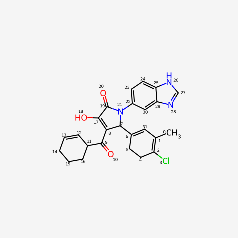 CC1=C(Cl)CCC(C2C(C(=O)C3C=CCCC3)=C(O)C(=O)N2c2ccc3[nH]cnc3c2)=C1